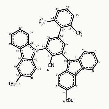 CC(C)(C)c1ccc2c(c1)c1ccccc1n2-c1cc(-c2c(C#N)cccc2C(F)(F)F)cc(-n2c3ccccc3c3cc(C(C)(C)C)ccc32)c1C#N